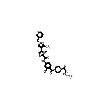 C[C@H](NC(=O)O)C(=O)N1CCN(C(=O)c2ccc(NC(=O)c3ncc(-c4cn(Cc5cccnc5)nc4C(F)(F)F)n3C)cc2Cl)CC1